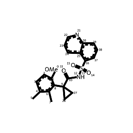 COc1ccc(C)c(C)c1C1(C(=O)NS(=O)(=O)c2cccc3ncccc23)CC1